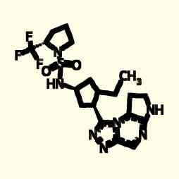 CCC1C[C@H](NS(=O)(=O)N2CCC[C@H]2C(F)(F)F)C[C@@H]1c1nnc2cnc3c(n12)CCN3